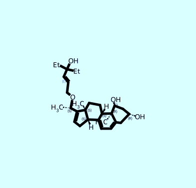 CCC(O)(/C=C/CO[C@@H](C)C1=CC[C@H]2C3=CC=C4C[C@@H](O)C[C@H](O)[C@]4(C)[C@H]3CC[C@]12C)CC